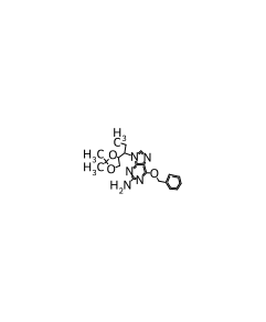 CCC(C1COC(C)(C)O1)n1cnc2c(OCc3ccccc3)nc(N)nc21